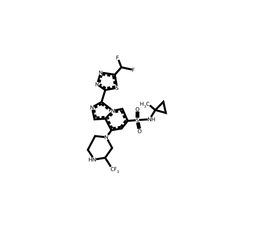 CC1(NS(=O)(=O)c2cc(N3CCNC(C(F)(F)F)C3)c3cnc(-c4nnc(C(F)F)s4)n3c2)CC1